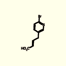 O=C(O)C=CCc1ccc(Br)nc1